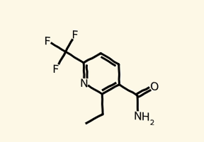 CCc1nc(C(F)(F)F)ccc1C(N)=O